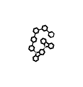 C1=CC(c2cccc(-c3cccc(-c4ccc(-c5cccc(-n6c7ccccc7c7ccc(-n8c9ccccc9c9ccccc98)cc76)c5)cc4)c3)c2)=CCC1